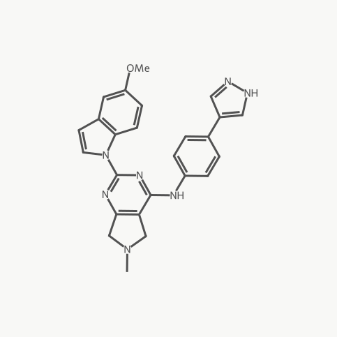 COc1ccc2c(ccn2-c2nc3c(c(Nc4ccc(-c5cn[nH]c5)cc4)n2)CN(C)C3)c1